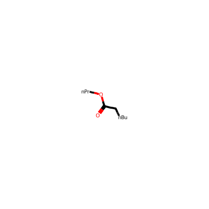 C[CH]COC(=O)CCCCC